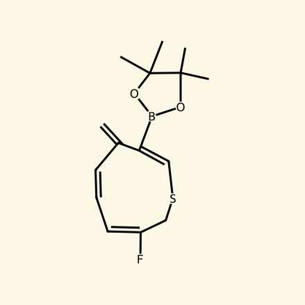 C=C1/C=C\C=C(\F)CS/C=C\1B1OC(C)(C)C(C)(C)O1